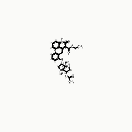 CCOC(=O)c1c(Cc2ccccc2O[C@H]2CO[C@H]3[C@@H]2OC[C@@H]3OC(C)=O)c2ccccc2[nH]c1=O